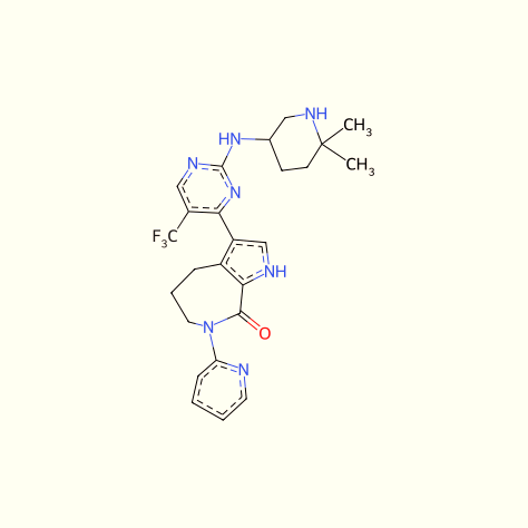 CC1(C)CCC(Nc2ncc(C(F)(F)F)c(-c3c[nH]c4c3CCCN(c3ccccn3)C4=O)n2)CN1